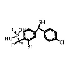 O=P(O)(O)C(F)(F)c1ccc(C(S)c2ccc(Cl)cc2)cc1Br